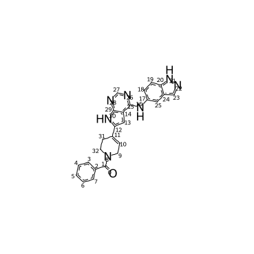 O=C(c1ccccc1)N1CC=C(c2cc3c(Nc4ccc5[nH]ncc5c4)ncnc3[nH]2)CC1